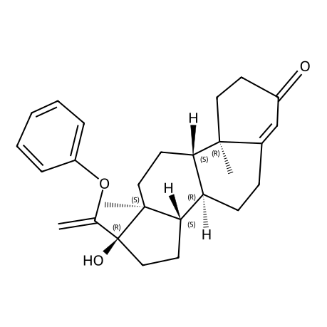 C=C(Oc1ccccc1)[C@@]1(O)CC[C@H]2[C@@H]3CCC4=CC(=O)CC[C@]4(C)[C@H]3CC[C@@]21C